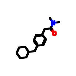 CN(C)C(=O)Cc1ccc(CC2CCCCC2)cc1